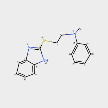 CN(CCSc1nc2ccccc2[nH]1)c1ccccc1